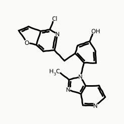 Cc1nc2cnccc2n1-c1ccc(O)cc1Cc1cc2occc2c(Cl)n1